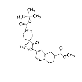 COC(=O)C1CCc2ccc(NC(=O)C3(C)CCN(C(=O)OC(C)(C)C)CC3)cc2C1